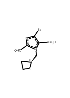 CCc1nc(C=O)n(C[C@@H]2CCO2)c1C(=O)O